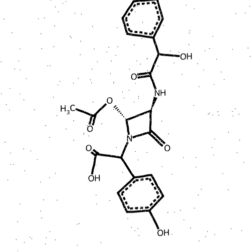 CC(=O)O[C@@H]1[C@@H](NC(=O)C(O)c2ccccc2)C(=O)N1C(C(=O)O)c1ccc(O)cc1